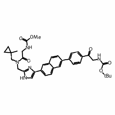 COC(=O)NCC(=O)N(Cc1nc(-c2ccc3cc(-c4ccc(C(=O)CNC(=O)OC(C)(C)C)cc4)ccc3c2)c[nH]1)CC1(C)CC1